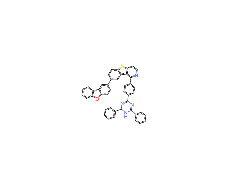 c1ccc(C2=NC(c3ccc(-c4nccc5sc6ccc(-c7ccc8oc9ccccc9c8c7)cc6c45)cc3)=NC(c3ccccc3)N2)cc1